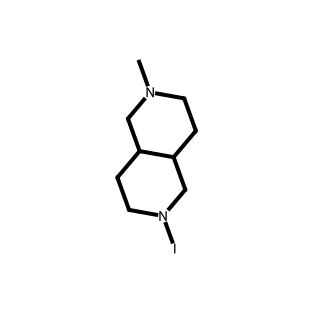 CN1CCC2CN(I)CCC2C1